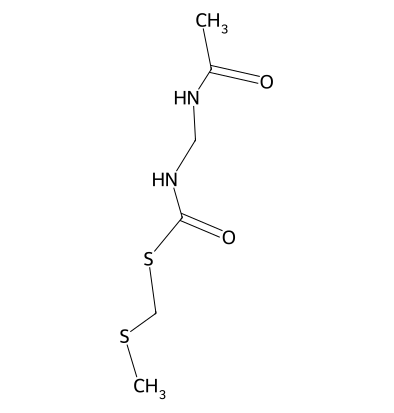 CSCSC(=O)NCNC(C)=O